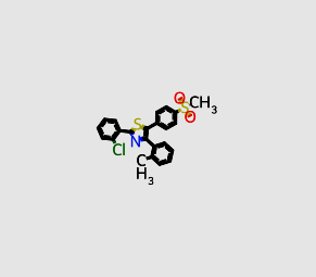 Cc1ccccc1-c1nc(-c2ccccc2Cl)sc1-c1ccc(S(C)(=O)=O)cc1